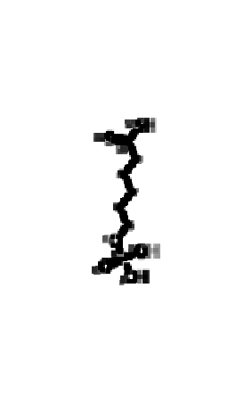 O=P(O)(O)OCCCCCC(=S)S